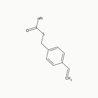 C=Cc1ccc(CSC(=O)CCC)cc1